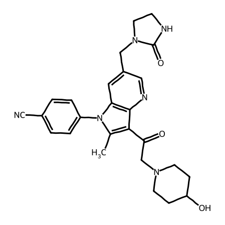 Cc1c(C(=O)CN2CCC(O)CC2)c2ncc(CN3CCNC3=O)cc2n1-c1ccc(C#N)cc1